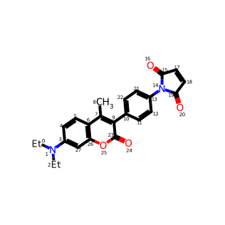 CCN(CC)c1ccc2c(C)c(-c3ccc(N4C(=O)C=CC4=O)cc3)c(=O)oc2c1